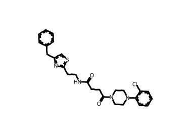 O=C(CCC(=O)N1CCN(c2ccccc2Cl)CC1)NCCc1nc(Cc2ccccc2)cs1